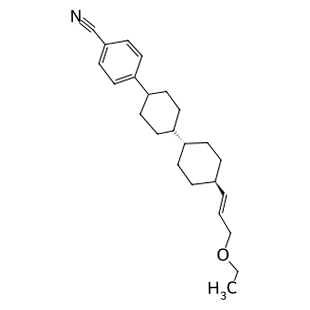 CCOC/C=C/[C@H]1CC[C@H](C2CCC(c3ccc(C#N)cc3)CC2)CC1